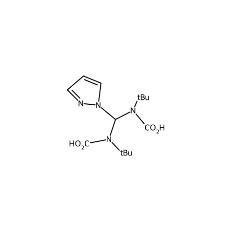 CC(C)(C)N(C(=O)O)C(N(C(=O)O)C(C)(C)C)n1cccn1